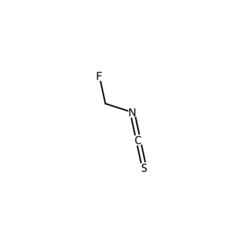 FCN=C=S